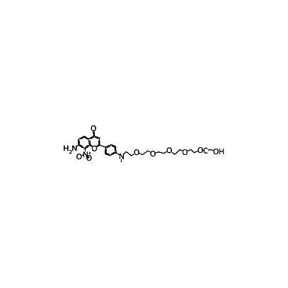 CN(CCOCCOCCOCCOCCOCCO)c1ccc(-c2cc(=O)c3ccc(N)c([N+](=O)[O-])c3o2)cc1